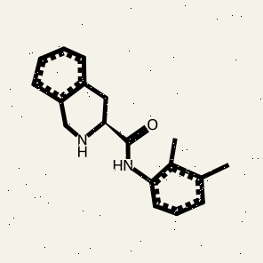 Cc1cccc(NC(=O)[C@@H]2Cc3ccccc3CN2)c1C